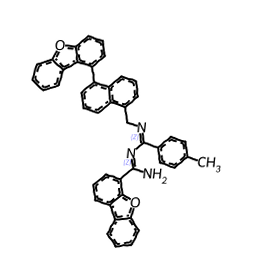 Cc1ccc(C(=N/Cc2cccc3c(-c4cccc5oc6ccccc6c45)cccc23)/N=C(\N)c2cccc3c2oc2ccccc23)cc1